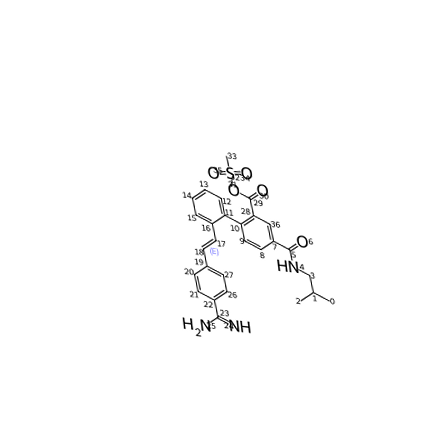 CC(C)CNC(=O)c1ccc(-c2ccccc2/C=C/c2ccc(C(=N)N)cc2)c(C(=O)OS(C)(=O)=O)c1